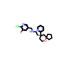 Clc1ncc(CNCC[C@]2(c3ccccn3)CCOC3(CCCC3)C2)cc1I